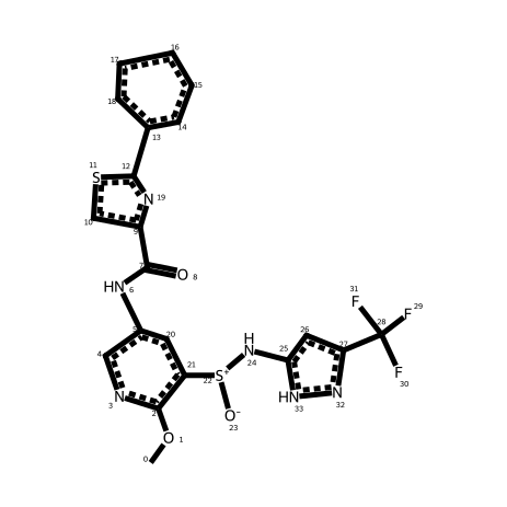 COc1ncc(NC(=O)c2csc(-c3ccccc3)n2)cc1[S+]([O-])Nc1cc(C(F)(F)F)n[nH]1